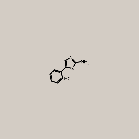 Cl.Nc1ncc(-c2ccccc2)s1